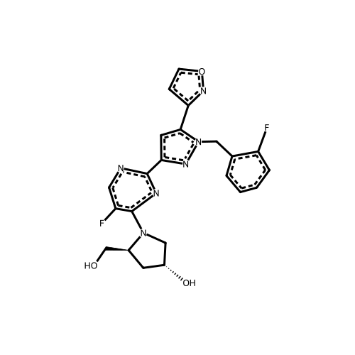 OC[C@@H]1C[C@@H](O)CN1c1nc(-c2cc(-c3ccon3)n(Cc3ccccc3F)n2)ncc1F